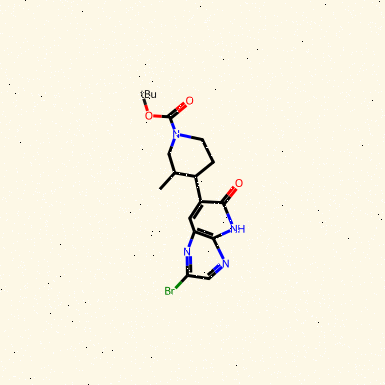 CC1CN(C(=O)OC(C)(C)C)CCC1c1cc2nc(Br)cnc2[nH]c1=O